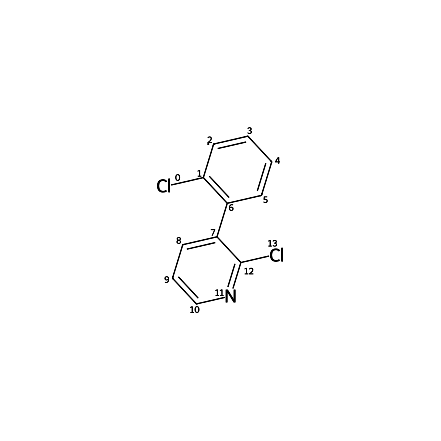 Clc1[c]cccc1-c1cccnc1Cl